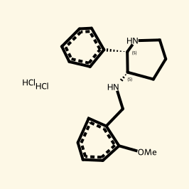 COc1ccccc1CN[C@H]1CCCN[C@H]1c1ccccc1.Cl.Cl